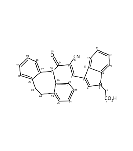 N#CC(=Cc1cn(CC(=O)O)c2ccccc12)C(=O)N1c2ccccc2CCc2ccccc21